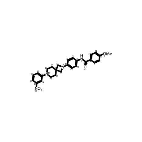 COc1ccc(C(=O)Nc2ccc(N3CC4(CCN(c5cccc([N+](=O)[O-])c5)CC4)C3)cc2)cc1